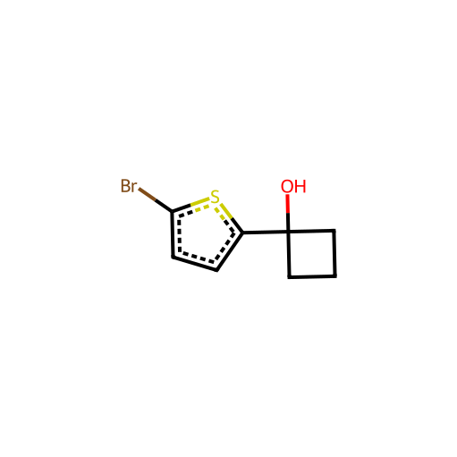 OC1(c2ccc(Br)s2)CCC1